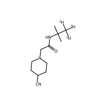 [2H]C([2H])([2H])C(C)(C)NC(=O)CN1CCC(C#N)CC1